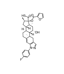 C[C@@H]1C[C@H]2[C@@H]3CCC4=Cc5c(cnn5-c5ccc(F)cc5)C[C@]4(C)[C@H]3[C@@H](O)C[C@]2(C)[C@@]1(OC(=O)c1ccco1)C(=O)S